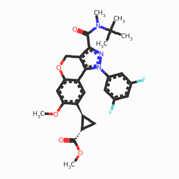 COC(=O)[C@H]1C[C@@H]1c1cc2c(cc1OC)OCc1c(C(=O)N(C)C(C)(C)C)nn(-c3cc(F)cc(F)c3)c1-2